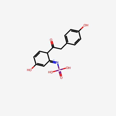 O=C(Cc1ccc(O)cc1)C1C=CC(O)=C/C1=N\P(=O)(O)O